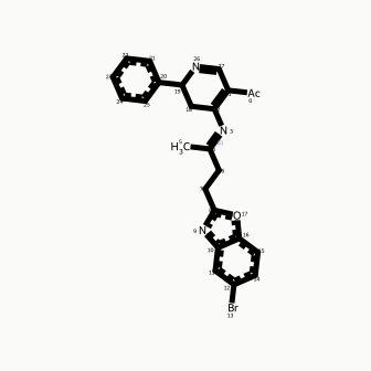 CC(=O)C1=C(/N=C(\C)CCc2nc3cc(Br)ccc3o2)CC(c2ccccc2)N=C1